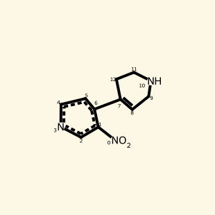 O=[N+]([O-])c1cnccc1C1=CCNCC1